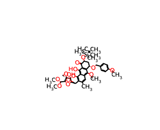 COc1ccc(CO[C@H]2C[C@H](O[Si](C)(C)C(C)(C)C)C(=O)c3c2c(OC)c2cc(C)c4c(c2c3O)O[C@@]2(O)C3OC(C(OC)OC)(OC43)[C@]23CO3)cc1